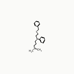 CN(C)CCCN(CCSCc1ccccc1)c1ccccc1